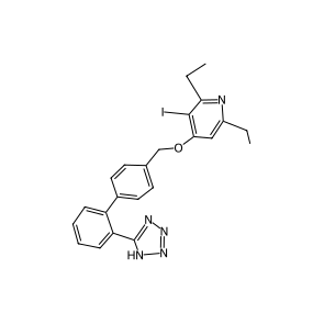 CCc1cc(OCc2ccc(-c3ccccc3-c3nnn[nH]3)cc2)c(I)c(CC)n1